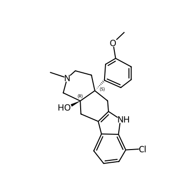 COc1cccc([C@@]23CCN(C)C[C@@]2(O)Cc2c([nH]c4c(Cl)cccc24)C3)c1